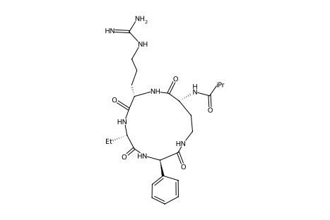 CC[C@@H]1NC(=O)[C@H](CCCNC(=N)N)NC(=O)[C@H](NC(=O)C(C)C)CCNC(=O)[C@@H](c2ccccc2)NC1=O